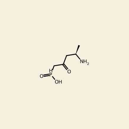 C[C@@H](N)CC(=O)C[PH](=O)O